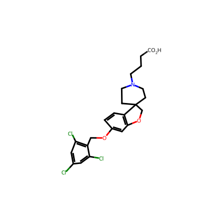 O=C(O)CCCN1CCC2(CC1)COc1cc(OCc3c(Cl)cc(Cl)cc3Cl)ccc12